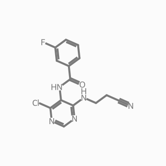 N#CCCNc1ncnc(Cl)c1NC(=O)c1cccc(F)c1